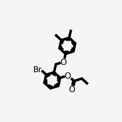 CCC(=O)Oc1cccc(Br)c1COc1ccc(C)c(C)c1